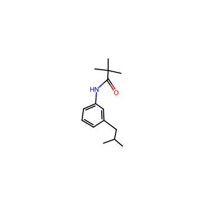 CC(C)Cc1cccc(NC(=O)C(C)(C)C)c1